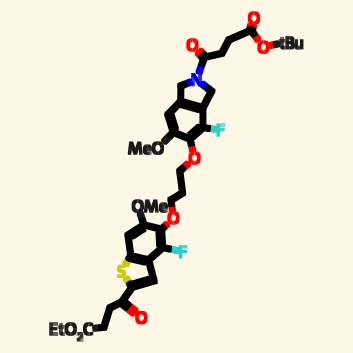 CCOC(=O)CCC(=O)c1cc2c(F)c(OCCCOc3c(OC)cc4c(c3F)CN(C(=O)CCC(=O)OC(C)(C)C)C4)c(OC)cc2s1